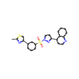 Cc1nc(-c2cccc(S(=O)(=O)n3ccc(-c4ccnc5ccccc45)n3)c2)cs1